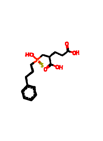 O=C(O)CCC(CP(O)(=S)CCCc1ccccc1)C(=O)O